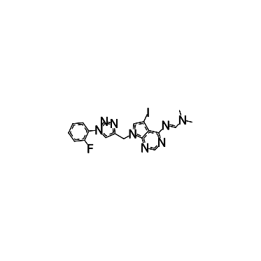 CN(C)C=Nc1ncnc2c1c(I)cn2Cc1cn(-c2ccccc2F)nn1